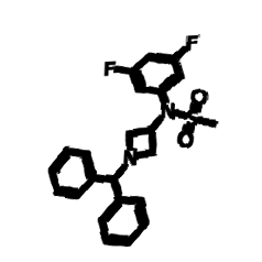 CS(=O)(=O)N(c1cc(F)cc(F)c1)C1CN(C(c2ccccc2)c2ccccc2)C1